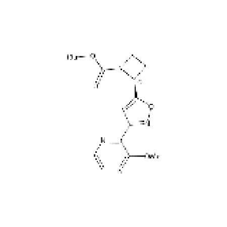 COc1nccnc1-c1cc([C@@H]2CCN2C(=O)OC(C)(C)C)on1